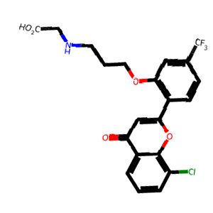 O=C(O)CNCCCOc1cc(C(F)(F)F)ccc1-c1cc(=O)c2cccc(Cl)c2o1